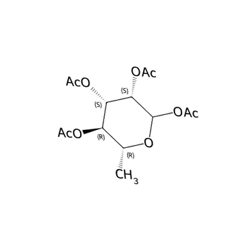 CC(=O)OC1O[C@H](C)[C@@H](OC(C)=O)[C@H](OC(C)=O)[C@@H]1OC(C)=O